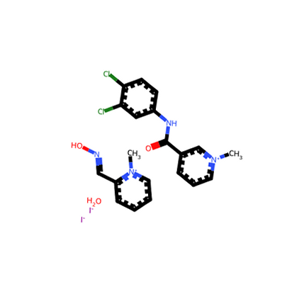 C[n+]1cccc(C(=O)Nc2ccc(Cl)c(Cl)c2)c1.C[n+]1ccccc1C=NO.O.[I-].[I-]